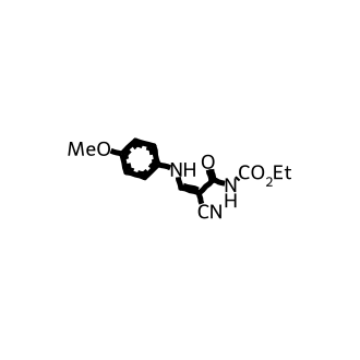 CCOC(=O)NC(=O)/C(C#N)=C\Nc1ccc(OC)cc1